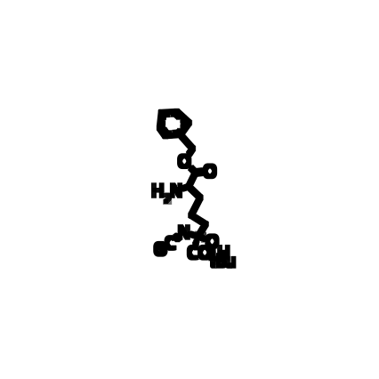 CC(C)(C)O[C@@](CCCC(N)C(=O)OCc1ccccc1)(N=C=O)C(=O)O